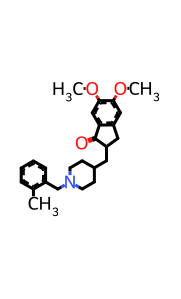 COc1cc2c(cc1OC)C(=O)C(CC1CCN(Cc3ccccc3C)CC1)C2